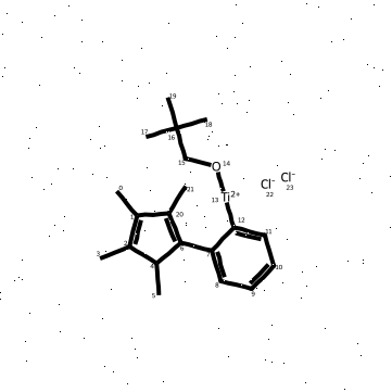 CC1=C(C)C(C)C(c2cccc[c]2[Ti+2][O]CC(C)(C)C)=C1C.[Cl-].[Cl-]